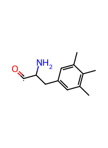 Cc1cc(CC(N)[C]=O)cc(C)c1C